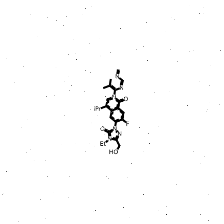 C=N/C=N\C(=C(C)C)n1cc(C(C)C)c2cc(-n3nc(CO)n(CC)c3=O)c(F)cc2c1=O